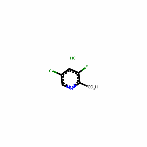 Cl.O=C(O)c1ncc(Cl)cc1F